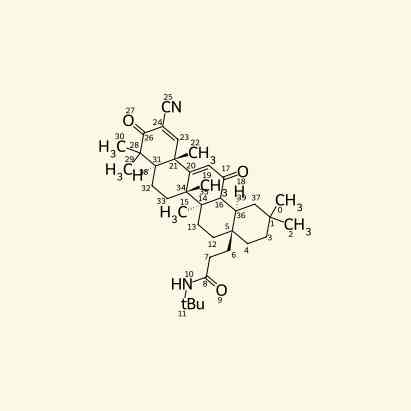 CC1(C)CC[C@]2(CCC(=O)NC(C)(C)C)CC[C@]3(C)C(C(=O)C=C4[C@@]5(C)C=C(C#N)C(=O)C(C)(C)[C@@H]5CC[C@]43C)[C@H]2C1